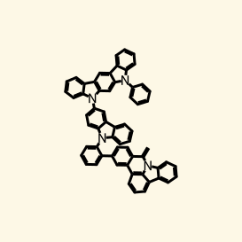 C=c1c2ccc(-c3ccccc3-n3c4ccccc4c4cc(-n5c6ccccc6c6cc7c8ccccc8n(-c8ccccc8)c7cc65)ccc43)cc2c2cccc3c4ccccc4n1c23